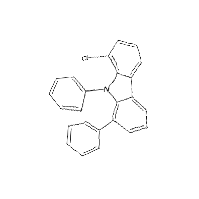 Clc1cccc2c3cccc(-c4ccccc4)c3n(-c3ccccc3)c12